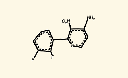 Nc1ccnc(-c2cccc(F)c2F)c1[N+](=O)[O-]